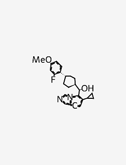 COc1ccc([C@H]2CC[C@H]([C@H](O)c3c(C4CC4)ccc4cncn34)CC2)c(F)c1